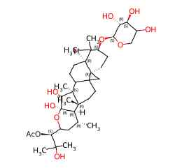 CC(=O)O[C@@H](C1C[C@@H](C)[C@H]2[C@@](O)(O1)[C@H](O)[C@@]1(C)C3CC[C@H]4C(C)(C)[C@@H](O[C@@H]5OCC(O)[C@H](O)[C@H]5O)CC[C@@]45CC35CC[C@]21C)C(C)(C)O